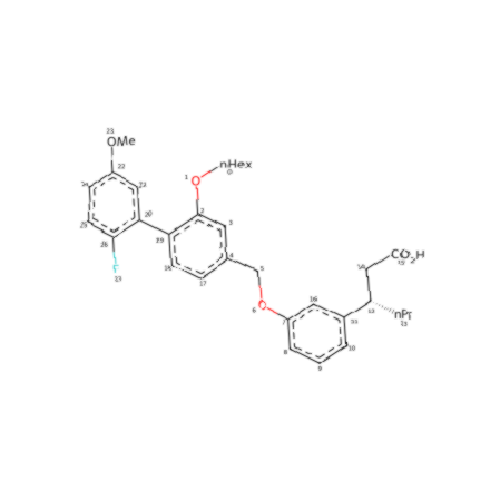 CCCCCCOc1cc(COc2cccc([C@@H](CCC)CC(=O)O)c2)ccc1-c1cc(OC)ccc1F